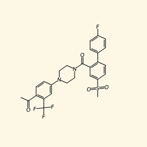 CC(=O)c1ccc(N2CCN(C(=O)c3cc(S(C)(=O)=O)ccc3-c3ccc(F)cc3)CC2)cc1C(F)(F)F